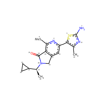 CSc1nc(-c2sc(N)nc2C)cc2c1C(=O)N([C@@H](C)C1CC1)C2